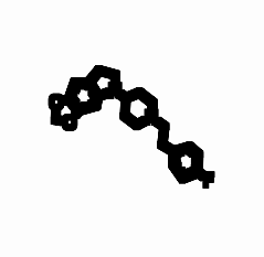 Fc1ccc(CCN2CCC(N3CCc4cc5c(cc43)OCO5)CC2)cc1